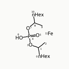 CCCCCCC(C)OP(=O)(O)OC(C)CCCCCC.[Fe]